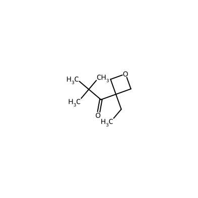 CCC1(C(=O)C(C)(C)C)COC1